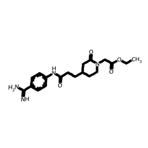 CCOC(=O)CN1CCC(CCC(=O)Nc2ccc(C(=N)N)cc2)CC1=O